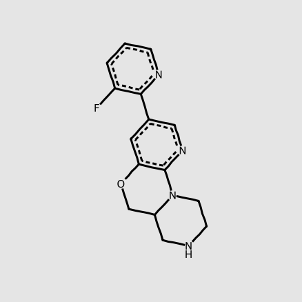 Fc1cccnc1-c1cnc2c(c1)OCC1CNCCN21